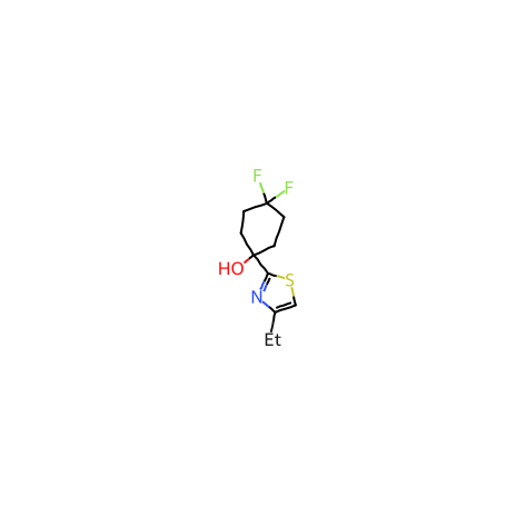 CCc1csc(C2(O)CCC(F)(F)CC2)n1